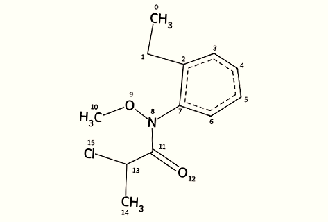 CCc1ccccc1N(OC)C(=O)C(C)Cl